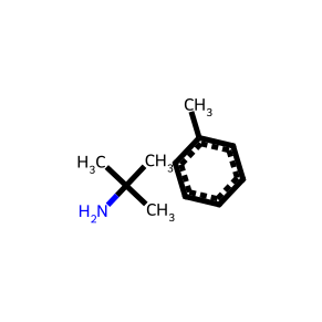 CC(C)(C)N.Cc1ccccc1